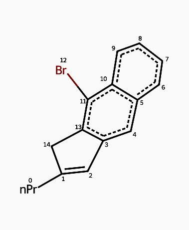 CCCC1=Cc2cc3ccccc3c(Br)c2C1